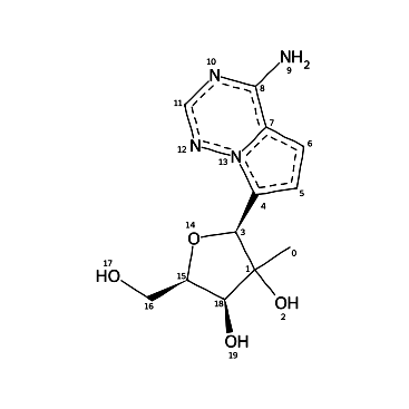 CC1(O)[C@H](c2ccc3c(N)ncnn23)O[C@H](CO)[C@@H]1O